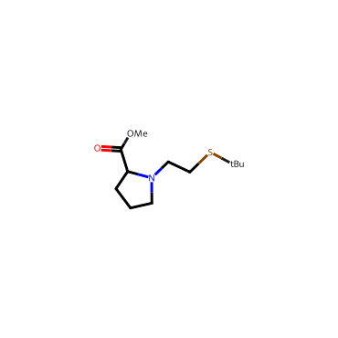 COC(=O)C1CCCN1CCSC(C)(C)C